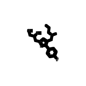 CCCN(C)Cc1cn(CC(O)CO)nc1-c1ccc(F)cc1